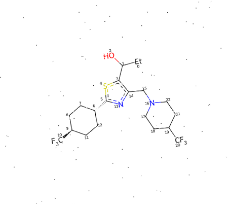 CCC(O)c1sc([C@H]2CC[C@H](C(F)(F)F)CC2)nc1CN1CCC(C(F)(F)F)CC1